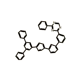 c1ccc(-c2cc(-c3ccccc3)cc(-c3ccc(-c4cccc(-c5cccc(-c6ncnc(-c7ccccc7)n6)c5)c4)cc3)c2)cc1